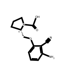 N#Cc1c(N)cccc1OC[C@@H]1CCCN1C(=O)O